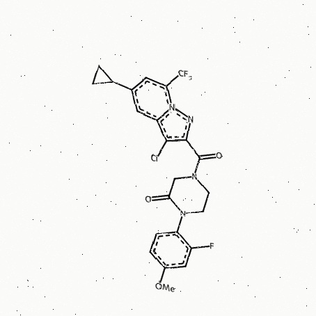 COc1ccc(N2CCN(C(=O)c3nn4c(C(F)(F)F)cc(C5CC5)cc4c3Cl)CC2=O)c(F)c1